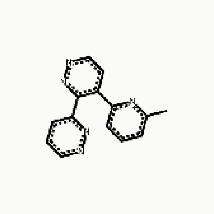 Cc1cccc(-c2ccnnc2-c2cccnn2)n1